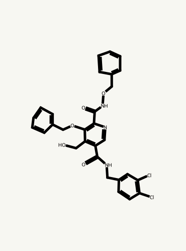 O=C(NCc1ccc(Cl)c(Cl)c1)c1cnc(C(=O)NOCc2ccccc2)c(OCc2ccccc2)c1CO